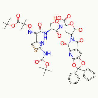 CC(C)(C)OC(=O)Nc1nc(/C(=N/OC(C)(C)C(=O)OC(C)(C)C)C(=O)N[C@H]2CON(C3(C(=O)O)C[C@H](N4C(=O)c5cc6c(nc5C4=O)OC(c4ccccc4)(c4ccccc4)O6)C(=O)O3)C2=O)cs1